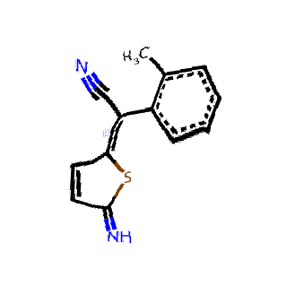 Cc1ccccc1/C(C#N)=C1/C=CC(=N)S1